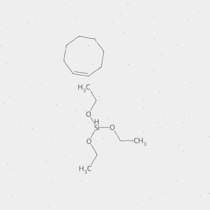 C1=CCCCCCC1.CCO[SiH](OCC)OCC